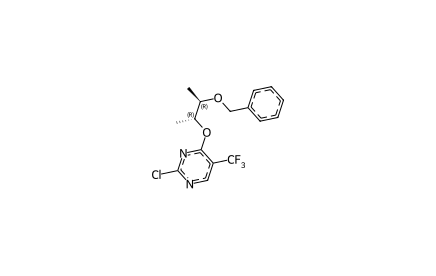 C[C@@H](OCc1ccccc1)[C@@H](C)Oc1nc(Cl)ncc1C(F)(F)F